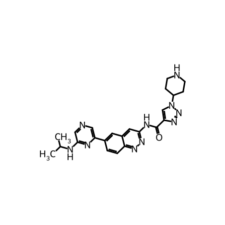 CC(C)Nc1cncc(-c2ccc3nnc(NC(=O)c4cn(C5CCNCC5)nn4)cc3c2)n1